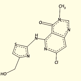 Cn1cnc2cc(Cl)nc(Nc3nc(CO)cs3)c2c1=O